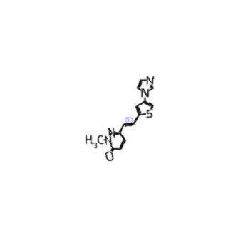 Cn1nc(/C=C/c2cc(-n3ccnc3)cs2)ccc1=O